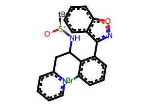 CC(C)(C)[S@+]([O-])NC(Cc1ccccn1)c1c(Br)cccc1-c1noc2ccccc12